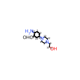 Nc1ccc(N2CCN(CCO)CC2)cc1C=O